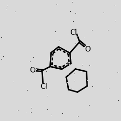 C1CCCCC1.O=C(Cl)c1ccc(C(=O)Cl)cc1